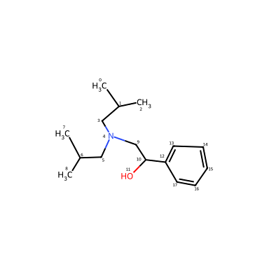 CC(C)CN(CC(C)C)CC(O)c1ccccc1